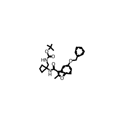 Cc1oc2ccc(OCc3ccccc3)cc2c1C(=O)NC1(CNC(=O)OC(C)(C)C)CCC1